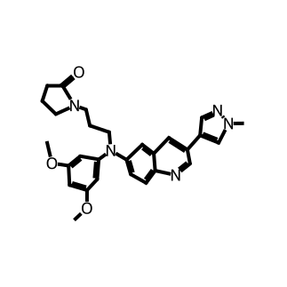 COc1cc(OC)cc(N(CCCN2CCCC2=O)c2ccc3ncc(-c4cnn(C)c4)cc3c2)c1